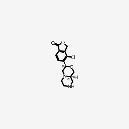 O=C1OCc2c1ccc([C@@H]1CN3CCNC[C@H]3CO1)c2Cl